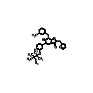 Cc1cccc(Cc2[nH]c(-c3cccc(O[Si](C)(C)C(C)(C)C)c3)cn3c(=O)c(Cc4ccco4)nc2-3)c1